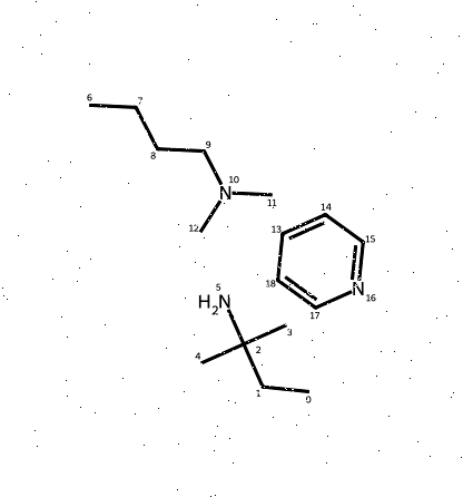 CCC(C)(C)N.CCCCN(C)C.c1ccncc1